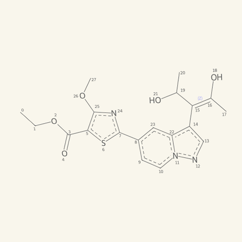 CCOC(=O)c1sc(-c2ccn3ncc(/C(=C(\C)O)C(C)O)c3c2)nc1OC